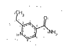 CCc1cc(C(N)=O)ccn1